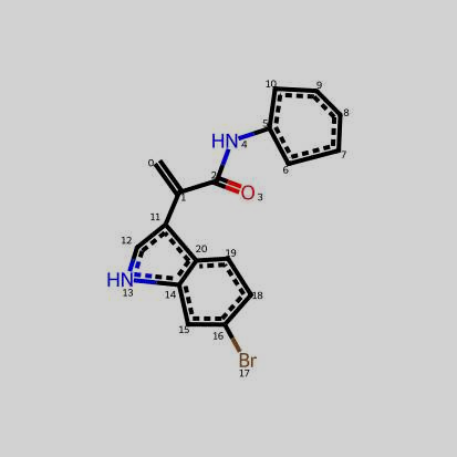 C=C(C(=O)Nc1ccccc1)c1c[nH]c2cc(Br)ccc12